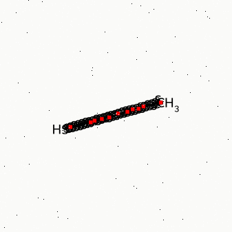 CC(=S)SSSSSSSSSSSSSSSSSSSSSSSSSSSSSSSSSSSSSSSSSSSSSSSSSSS